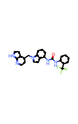 O=C(Nc1ccccc1C(F)(F)F)Nc1cccc2c1ccn2Cc1ccnc2[nH]ccc12